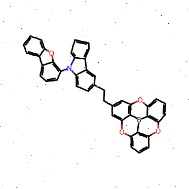 c1cc2c3c(c1)Oc1cc(CCc4ccc5c(c4)c4ccccc4n5-c4cccc5c4oc4ccccc45)cc4c1B3c1c(cccc1O4)O2